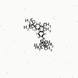 C=C[C@]1(C(=O)OC)CC[C@@H](C(=C)C)[C@H](c2ccc(CO[Si](C)(C)C(C)(C)C)cc2)C1